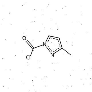 Cc1ccn(C(=O)Cl)n1